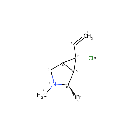 C=CC1(Cl)C2CN(C)[C@H](C(C)C)C21